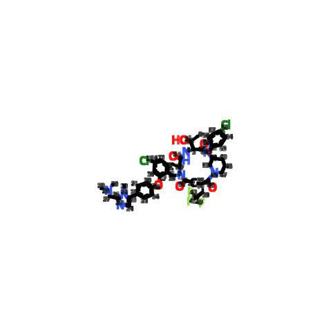 C[C@H](O)C1NC(=O)[C@H](C)N(Cc2ccc(Cl)cc2Oc2ccc(-c3cnc(CN(C)C)n3C)cc2)C(=O)C[C@@H](CC(F)(F)F)C(=O)N2CCC[C@@](Cc3ccc(Cl)cc3)(C2)NC1=O